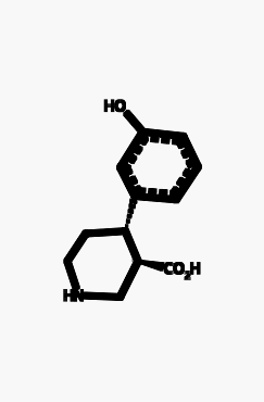 O=C(O)[C@H]1CNCC[C@@H]1c1cccc(O)c1